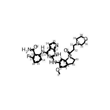 COc1cc2c(cc1Nc1nc(Nc3cccc(F)c3C(N)=O)c3ccnc-3[nH]1)N(C(=O)CCN1CCOCC1)CC2